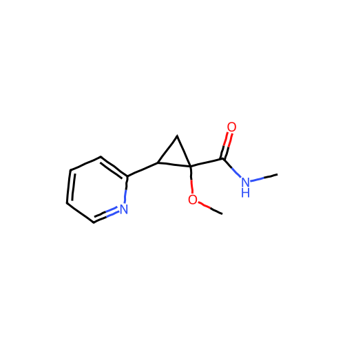 CNC(=O)C1(OC)CC1c1ccccn1